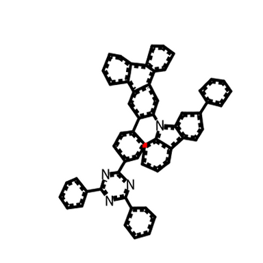 c1ccc(-c2ccc3c4ccccc4n(-c4cc5c6ccccc6c6ccccc6c5cc4-c4ccc(-c5nc(-c6ccccc6)nc(-c6ccccc6)n5)cc4)c3c2)cc1